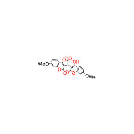 COc1ccc2c(O)c(C3c4c(c5ccc(OC)cc5oc4=O)OC3O)c(=O)oc2c1